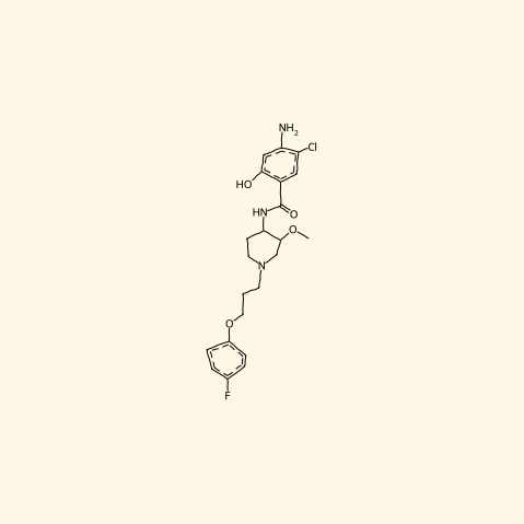 COC1CN(CCCOc2ccc(F)cc2)CCC1NC(=O)c1cc(Cl)c(N)cc1O